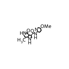 COc1ccc(NC(=O)c2c[nH]c3c(C)c[nH]c(=O)c23)nc1